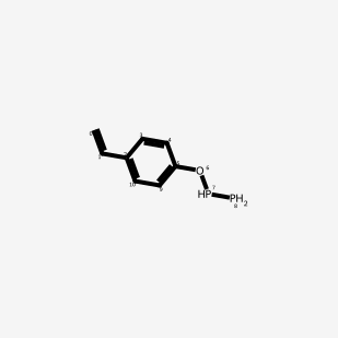 C=Cc1ccc(OPP)cc1